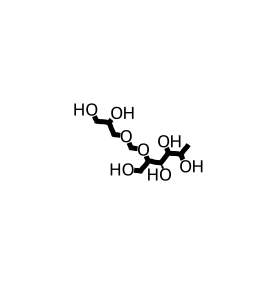 CC(O)C(O)[C@H](O)C(CO)OCOCC(O)CO